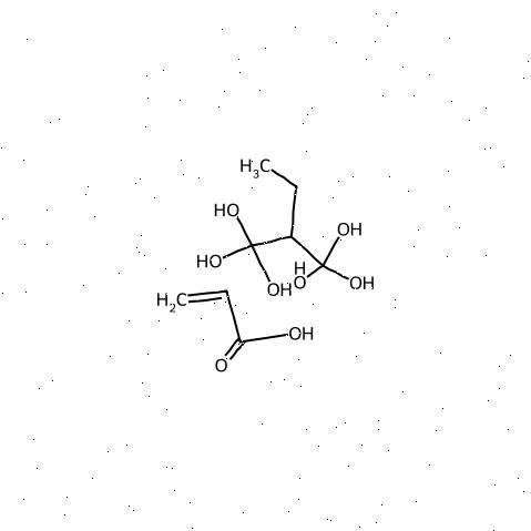 C=CC(=O)O.CCC(C(O)(O)O)C(O)(O)O